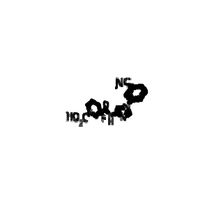 N#Cc1cccc(-n2cnc(NC(=O)C3(F)CCCN(C(=O)O)C3)c2)c1